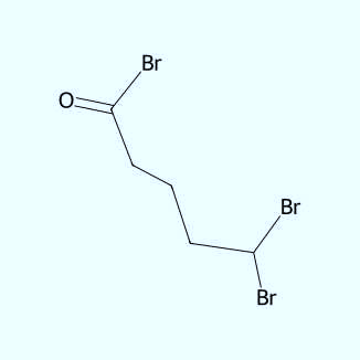 O=C(Br)CCCC(Br)Br